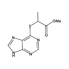 COC(=O)C(C)Sc1ncnc2[nH]cnc12